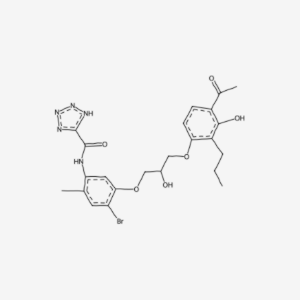 CCCc1c(OCC(O)COc2cc(NC(=O)c3nnn[nH]3)c(C)cc2Br)ccc(C(C)=O)c1O